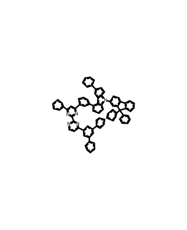 c1ccc(-c2cc(-c3ccccc3)cc(-c3ccnc(-c4nc(-c5ccccc5)cc(-c5cccc(-c6cccc7c6c6cc(-c8ccccc8)ccc6n7-c6ccc7c(c6)C(c6ccccc6)(c6ccccc6)c6ccccc6-7)c5)n4)n3)c2)cc1